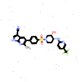 Cc1nc2[nH]cc(C#N)c2cc1-c1ccc(S(=O)(=O)N2CC[C@@H](Nc3ccc(C(F)(F)F)cn3)[C@@H](O)C2)cc1